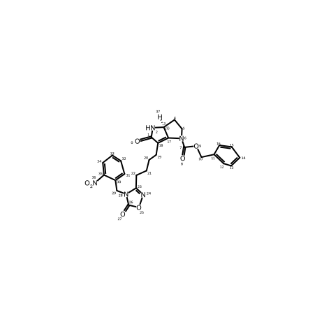 O=C1N[C@H]2CCN(C(=O)OCc3ccccc3)C2=C1CCCCc1noc(=O)n1Cc1ccccc1[N+](=O)[O-]